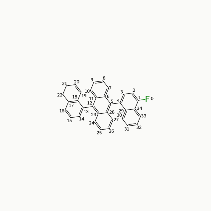 Fc1ccc(-c2c3ccccc3c(-c3cccc4c3C=CCC4)c3ccccc23)c2ccccc12